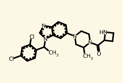 CC1CN(c2ccc3ncn(C(C)c4ccc(Cl)cc4Cl)c3c2)CCN1C(=O)C1CCN1